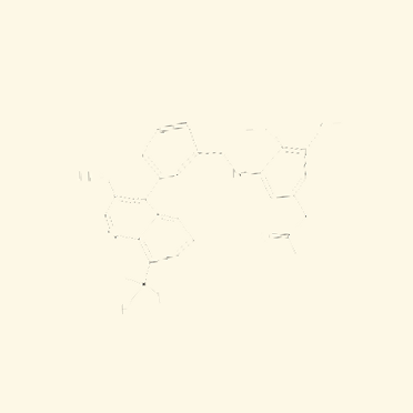 Cc1cc(CC(=O)O)cc(NCc2cccc(-c3c(C)cnc4c(C(F)(F)F)cccc34)c2)c1C